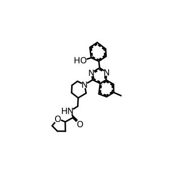 Cc1ccc2c(N3CCCC(CNC(=O)C4CCCO4)C3)nc(-c3ccccc3O)nc2c1